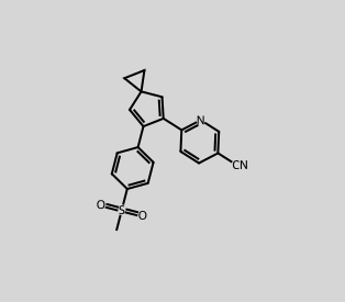 CS(=O)(=O)c1ccc(C2=CC3(C=C2c2ccc(C#N)cn2)CC3)cc1